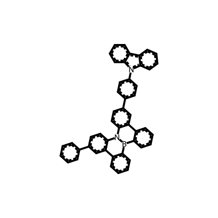 c1ccc(-c2ccc3c(c2)-c2ccccc2B2c4ccccc4-c4cc(-c5ccc(-n6c7ccccc7c7ccccc76)cc5)ccc4N23)cc1